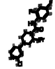 CC(C)C1CN(c2ccnc(Cl)n2)CCN1C(=O)Nc1ccc(F)cc1F